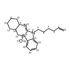 C=CCCCCN1C2=NC3CCCCC3C[N+]2([O-])c2ccccc21